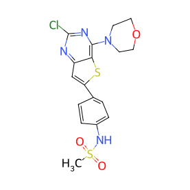 CS(=O)(=O)Nc1ccc(-c2cc3nc(Cl)nc(N4CCOCC4)c3s2)cc1